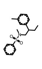 CCC(CN(C)S(=O)(=O)c1ccccc1)c1cccc(C)c1